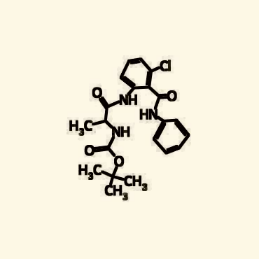 CC(NC(=O)OC(C)(C)C)C(=O)Nc1cccc(Cl)c1C(=O)Nc1ccccc1